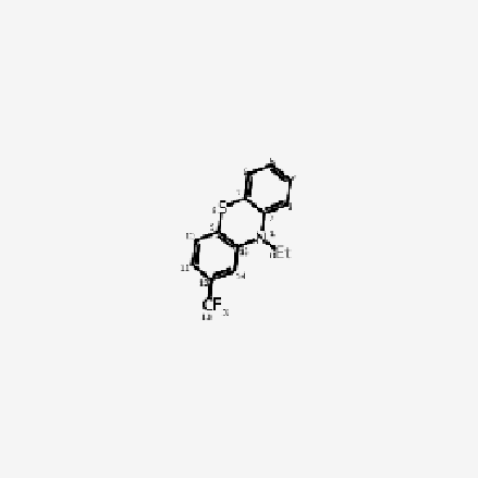 CCN1c2ccccc2Sc2ccc(C(F)(F)F)cc21